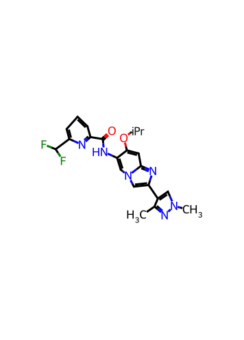 Cc1nn(C)cc1-c1cn2cc(NC(=O)c3cccc(C(F)F)n3)c(OC(C)C)cc2n1